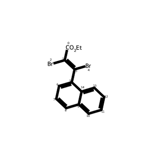 CCOC(=O)C(Br)=C(Br)c1cccc2ccccc12